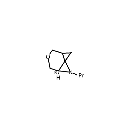 CC(C)N1[C@H]2COCC3CC321